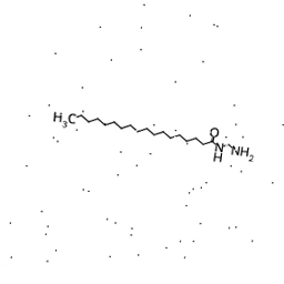 CCCCCCCCCCCCCCCCCC(=O)NCN